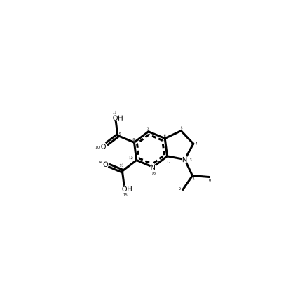 CC(C)N1CCc2cc(C(=O)O)c(C(=O)O)nc21